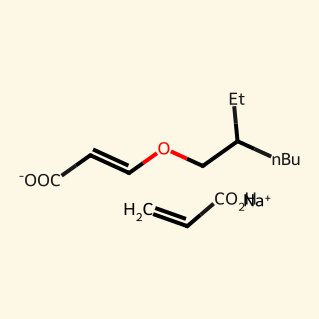 C=CC(=O)O.CCCCC(CC)COC=CC(=O)[O-].[Na+]